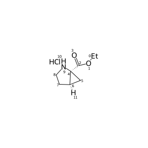 CCOC(=O)[C@]12C[C@H]1CCN2.Cl